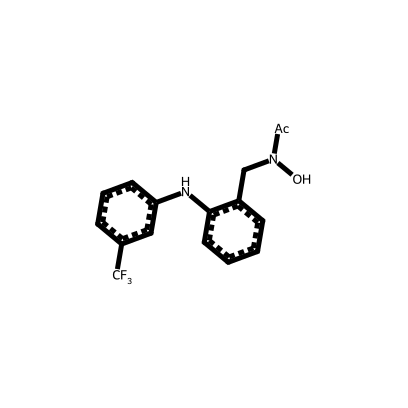 CC(=O)N(O)Cc1ccccc1Nc1cccc(C(F)(F)F)c1